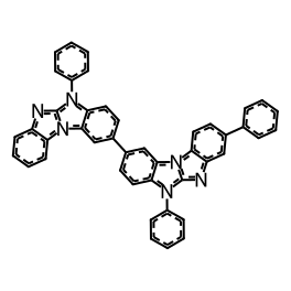 c1ccc(-c2ccc3c(c2)nc2n(-c4ccccc4)c4ccc(-c5ccc6c(c5)n5c7ccccc7nc5n6-c5ccccc5)cc4n32)cc1